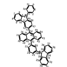 c1ccc(-n2c3ccccc3c3cc(-c4c5ccccc5c(-c5cccc(-n6c7ccccc7c7ccccc76)c5)c5ccccc45)ccc32)cc1